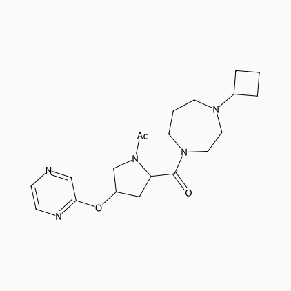 CC(=O)N1CC(Oc2cnccn2)CC1C(=O)N1CCCN(C2CCC2)CC1